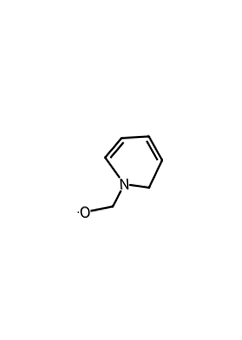 [O]CN1C=CC=CC1